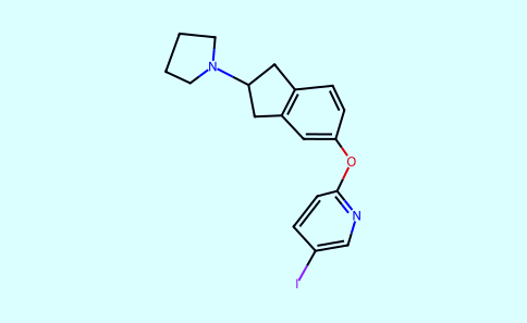 Ic1ccc(Oc2ccc3c(c2)CC(N2CCCC2)C3)nc1